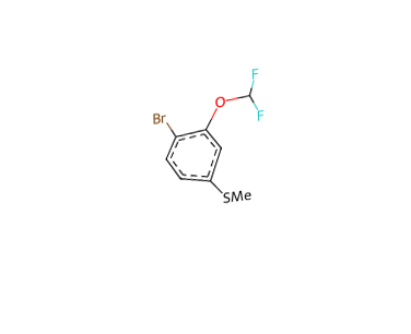 CSc1ccc(Br)c(OC(F)F)c1